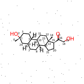 C[C@@]1(O)CC[C@H]2[C@@H](CC[C@@H]3[C@@H]2CC[C@]2(C)[C@@H](C(=O)CO)CC[C@@]32C)C1